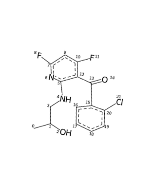 CC(O)CNc1nc(F)cc(F)c1C(=O)c1ccccc1Cl